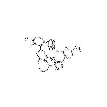 Nc1ccc(-c2cnc(C3CCCCc4cc(-c5c(-n6cnnn6)ccc(Cl)c5F)cc(=O)n43)[nH]2)c(F)n1